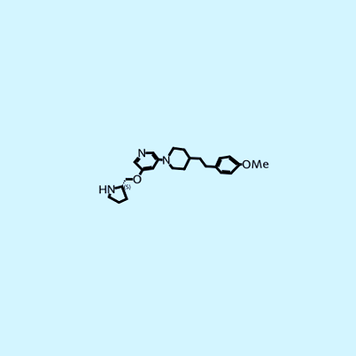 COc1ccc(CCC2CCN(c3cncc(OC[C@@H]4CCCN4)c3)CC2)cc1